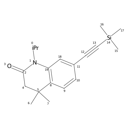 CC(C)N1C(=O)CC(C)(C)c2ccc(C#C[Si](C)(C)C)cc21